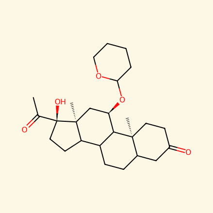 CC(=O)[C@@]1(O)CCC2C3CCC4CC(=O)CC[C@]4(C)C3[C@H](OC3CCCCO3)C[C@@]21C